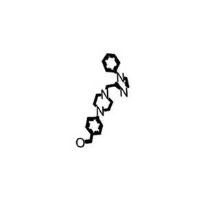 O=Cc1ccc(N2CCN(Cc3nccn3-c3ccccc3)CC2)cc1